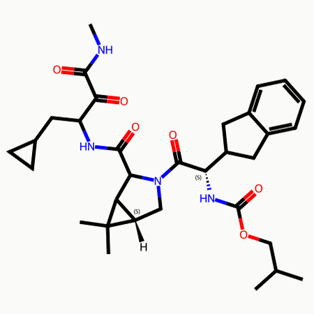 CNC(=O)C(=O)C(CC1CC1)NC(=O)C1C2[C@H](CN1C(=O)[C@@H](NC(=O)OCC(C)C)C1Cc3ccccc3C1)C2(C)C